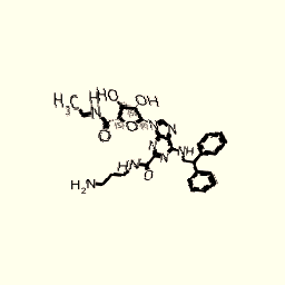 CCNC(=O)[C@H]1O[C@@H](n2cnc3c(NCC(c4ccccc4)c4ccccc4)nc(C(=O)NCCCN)nc32)[C@@H](O)[C@@H]1O